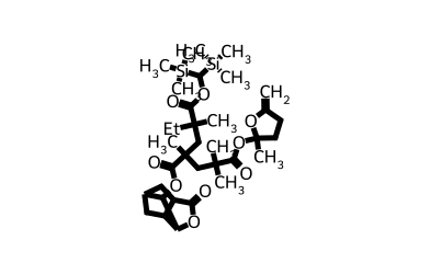 C=C1CCC(C)(OC(=O)C(C)(C)CC(C)(CC(C)(CC)C(=O)OC([Si](C)(C)C)[Si](C)(C)C)C(=O)OC2C3CC4C(=O)OC2C4C3)O1